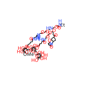 CCNC(=O)COCC(=O)NCCOCCOCCn1cc(CNC(=O)CCCCCO[C@H]2[C@H](O)[C@@H](O)[C@@H](OC)O[C@@H]2CO[C@H]2O[C@H](CO[C@H]3O[C@H](CO)[C@@H](O)[C@H](O)[C@H]3O)[C@@H](OCCCCCC(=O)NCCOCCOCCCC(=O)C3CCC(CN4C(=O)C=CC4=O)CC3)[C@H](O)[C@H]2O)nn1